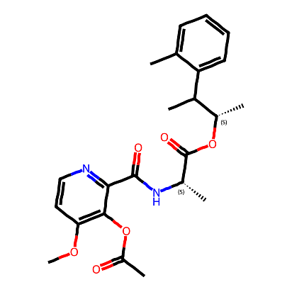 COc1ccnc(C(=O)N[C@@H](C)C(=O)O[C@@H](C)C(C)c2ccccc2C)c1OC(C)=O